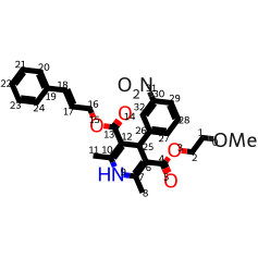 COCCOC(=O)C1=C(C)NC(C)=C(C(=O)OCC=Cc2ccccc2)C1c1cccc([N+](=O)[O-])c1